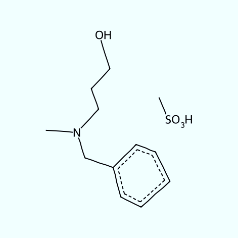 CN(CCCO)Cc1ccccc1.CS(=O)(=O)O